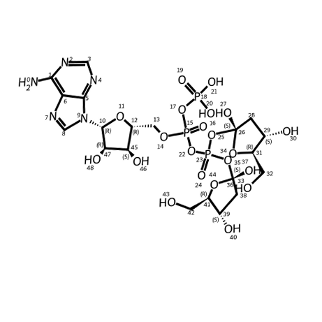 Nc1ncnc2c1ncn2[C@@H]1O[C@H](COP(=O)(OP(=O)(O)O)OP(=O)(O[C@]2(O)C[C@H](O)[C@@H](CO)O2)O[C@]2(O)C[C@H](O)[C@@H](CO)O2)[C@@H](O)[C@H]1O